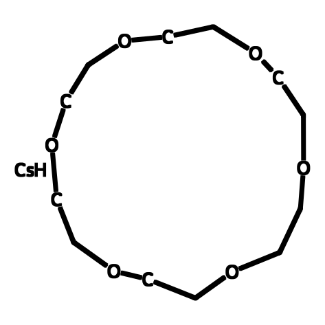 C1COCCOCCOCCOCCOCCO1.[CsH]